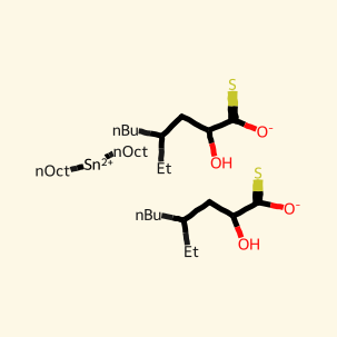 CCCCC(CC)CC(O)C([O-])=S.CCCCC(CC)CC(O)C([O-])=S.CCCCCCC[CH2][Sn+2][CH2]CCCCCCC